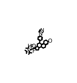 CC(C)S(#CC(F)(F)[C@]1(O)CCC2C3CCC4=CC(=O)CCC4=C3C(c3ccc(-n4ccnc4)cc3)C[C@@]21C)(C(C)C)C(C)C